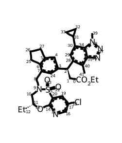 CCOC(=O)C[C@@H](c1cc2c(c(CN3C[C@@H](CC)Oc4ncc(Cl)cc4S3(=O)=O)c1)CCC2)c1cc(C2CC2)c2c(nnn2C)c1C